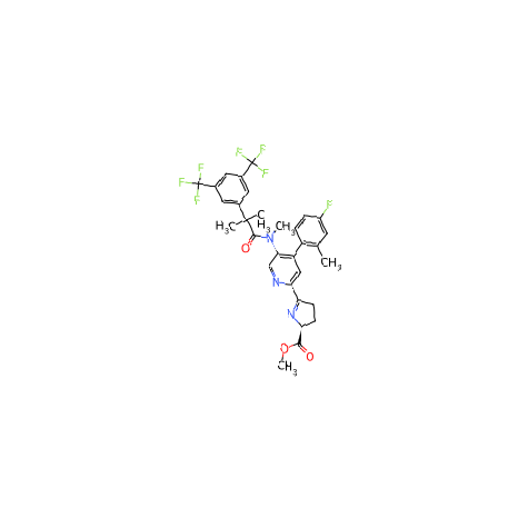 COC(=O)[C@@H]1CCC(c2cc(-c3ccc(F)cc3C)c(N(C)C(=O)C(C)(C)c3cc(C(F)(F)F)cc(C(F)(F)F)c3)cn2)=N1